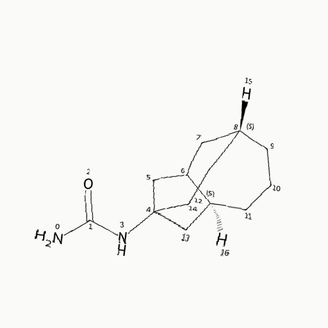 NC(=O)NC12CC3C[C@H](CCC[C@H]3C1)C2